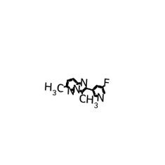 Cc1ccc2nc(-c3cncc(F)c3)c(C)n2n1